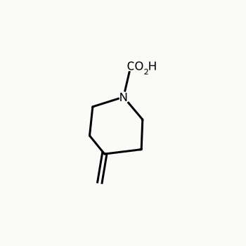 C=C1CCN(C(=O)O)CC1